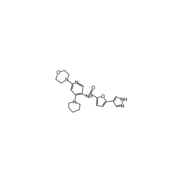 O=C(Nc1cnc(N2CCOCC2)cc1N1CCCCC1)c1ccc(-c2cn[nH]c2)o1